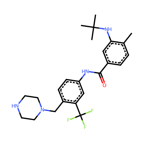 Cc1ccc(C(=O)Nc2ccc(CN3CCNCC3)c(C(F)(F)F)c2)cc1NC(C)(C)C